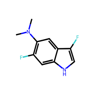 CN(C)c1cc2c(F)c[nH]c2cc1F